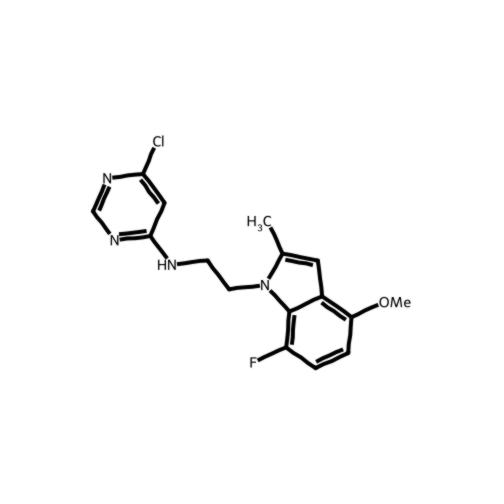 COc1ccc(F)c2c1cc(C)n2CCNc1cc(Cl)ncn1